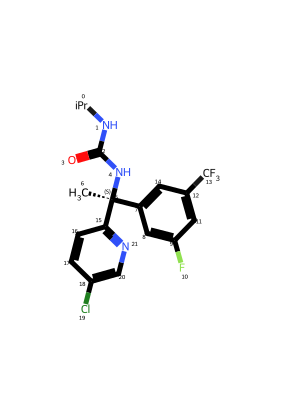 CC(C)NC(=O)N[C@@](C)(c1cc(F)cc(C(F)(F)F)c1)c1ccc(Cl)cn1